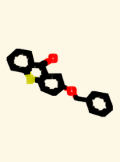 O=c1c2ccccc2sc2ccc(OCc3ccccc3)cc12